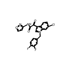 O=C(Nc1ccon1)C(=O)c1cn(Cc2ccc(F)c(F)c2)c2cc(Cl)ccc12